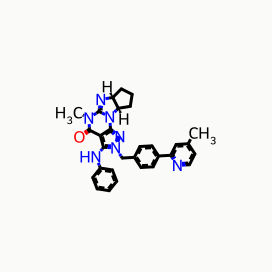 Cc1ccnc(-c2ccc(Cn3nc4c(c3Nc3ccccc3)C(=O)N(C)C3=N[C@@H]5CCC[C@@H]5N34)cc2)c1